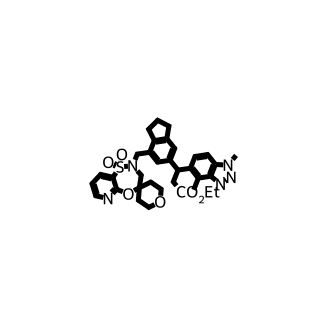 CCOC(=O)CC(c1cc2c(c(CN3CC4(CCOCC4)Oc4ncccc4S3(=O)=O)c1)CCC2)c1ccc2c(nnn2C)c1C